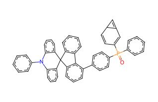 O=P(C1=CC2=CC2C=C1)(c1ccccc1)c1ccc(-c2cccc3c2-c2ccccc2C32c3ccccc3N(c3ccccc3)c3ccccc32)cc1